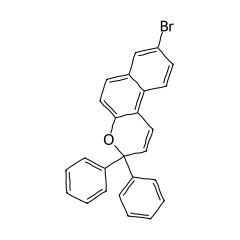 Brc1ccc2c3c(ccc2c1)OC(c1ccccc1)(c1ccccc1)C=C3